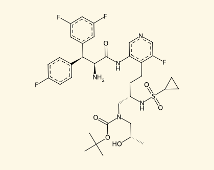 C[C@H](O)CN(C[C@H](CCc1c(F)cncc1NC(=O)[C@@H](N)[C@@H](c1ccc(F)cc1)c1cc(F)cc(F)c1)NS(=O)(=O)C1CC1)C(=O)OC(C)(C)C